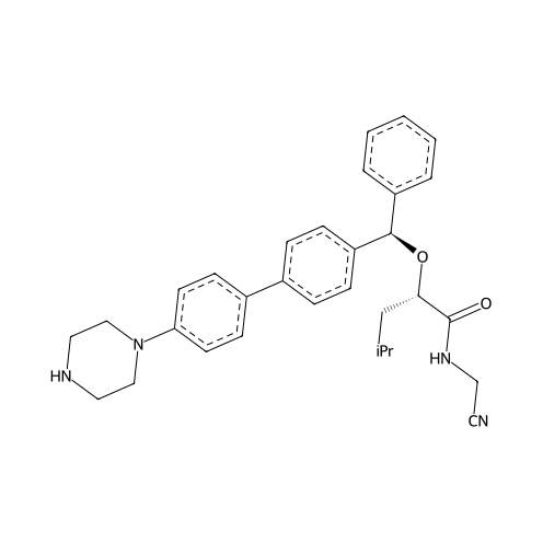 CC(C)C[C@H](O[C@H](c1ccccc1)c1ccc(-c2ccc(N3CCNCC3)cc2)cc1)C(=O)NCC#N